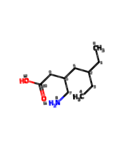 CCC(CC)CC(CN)CC(=O)O